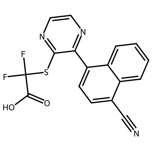 N#Cc1ccc(-c2nccnc2SC(F)(F)C(=O)O)c2ccccc12